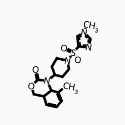 CC1=CC=CC2COC(=O)N(C3CCN(S(=O)(=O)c4cn(C)cn4)CC3)C12